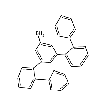 Bc1cc(-c2ccccc2-c2ccccc2)cc(-c2ccccc2-c2ccccc2)c1